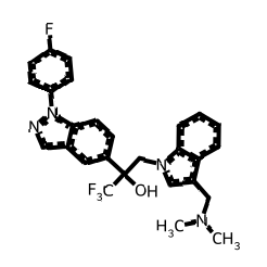 CN(C)Cc1cn(CC(O)(c2ccc3c(cnn3-c3ccc(F)cc3)c2)C(F)(F)F)c2ccccc12